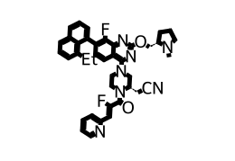 CCc1cccc2cccc(-c3ccc4c(N5CCN(C(=O)/C(F)=C/c6ccccn6)[C@@H](CC#N)C5)nc(OC[C@@H]5CCCN5C)nc4c3F)c12